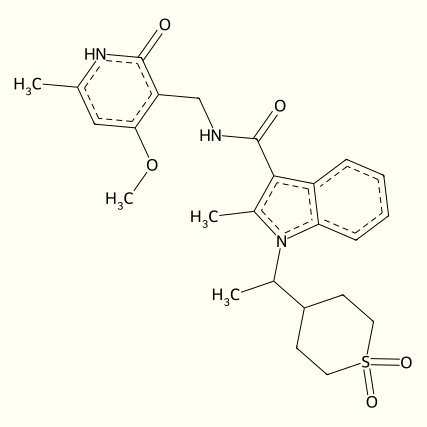 COc1cc(C)[nH]c(=O)c1CNC(=O)c1c(C)n(C(C)C2CCS(=O)(=O)CC2)c2ccccc12